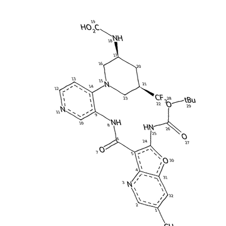 Cc1cnc2c(C(=O)Nc3cnccc3N3C[C@@H](NC(=O)O)C[C@@H](C(F)(F)F)C3)c(NC(=O)OC(C)(C)C)oc2c1